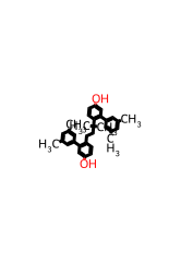 Cc1cc(C)cc(-c2cc(O)ccc2CCC(C)(C)c2ccc(O)cc2-c2cc(C)cc(C)c2)c1